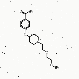 CC(C)OCCOCCN1CCC(Oc2ccc(C(=O)C(C)C)cc2)CC1